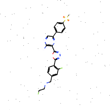 CC(C)S(=O)(=O)c1ccc(-c2cnc(N)c(-c3nnc(-c4ccc(CNCCF)cc4F)o3)n2)cc1